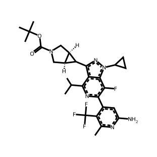 Cc1nc(N)cc(-c2nc(C(C)C)c3c(C4[C@H]5CN(C(=O)OC(C)(C)C)C[C@@H]45)nn(C4CC4)c3c2F)c1C(F)(F)F